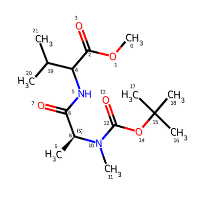 COC(=O)C(NC(=O)[C@H](C)N(C)C(=O)OC(C)(C)C)C(C)C